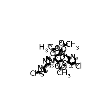 CC(=O)OCC1O[C@H](Sc2cc(Cl)cnc2C#N)C(OC(C)=O)C(n2cc(-c3csc(Cl)n3)nn2)[C@H]1OC(C)=O